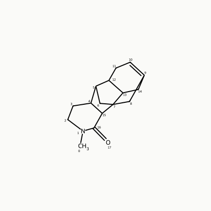 CN1CCC2C3CC4(CC5=CCC3C4C5)C2C1=O